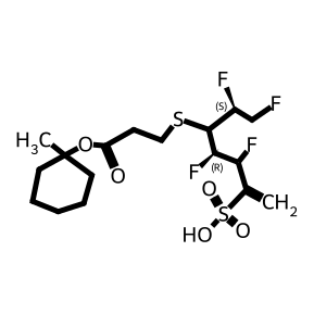 C=C(C(F)[C@@H](F)C(SCCC(=O)OC1(C)CCCCC1)[C@@H](F)CF)S(=O)(=O)O